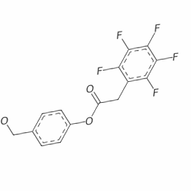 O=C(Cc1c(F)c(F)c(F)c(F)c1F)Oc1ccc(CO)cc1